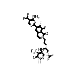 Nc1nc(-c2cc3ccn(CCC[C@H](COC(F)F)Nc4cn[nH]c(=O)c4C(F)(F)F)c(=O)c3c(F)c2F)ncc1C(F)F